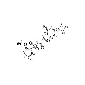 Cc1ccc(OC(C)C)c(S(=O)(=O)NC(=O)c2cc3c(F)cc(N4CCC4)cc3o2)c1